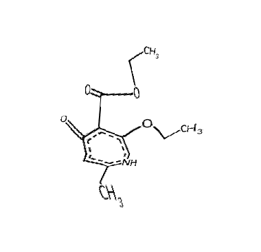 CCOC(=O)c1c(OCC)[nH]c(C)cc1=O